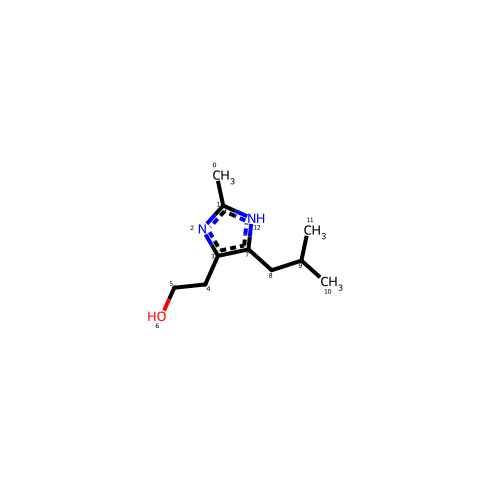 Cc1nc(CCO)c(CC(C)C)[nH]1